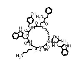 CC(C)C1NC(=O)[C@H](CCCCN)NC(=O)[C@@H](Cc2c[nH]c3ccccc23)NC(=O)[C@H](Cc2ccc(O)cc2)NC(=O)[C@@H](CC(=O)[C@H](N)Cc2ccccc2)CSSC[C@@H](C(=O)N[C@@H](Cc2c[nH]c3ccccc23)C(N)=O)NC1=O